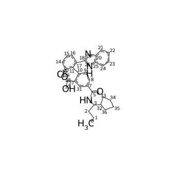 CCCC(NC(=O)c1ccc(-c2c(Cl)cccc2-c2nc3ccccc3[nH]2)c(C(=O)O)c1)C1CCCC1